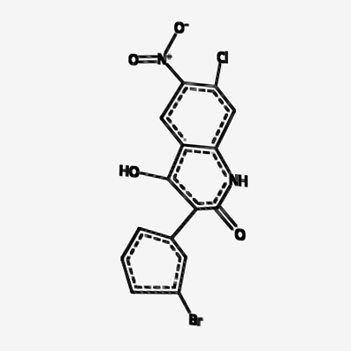 O=c1[nH]c2cc(Cl)c([N+](=O)[O-])cc2c(O)c1-c1cccc(Br)c1